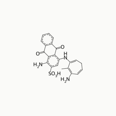 CC1=C(N)C=CCC=C1Nc1cc(S(=O)(=O)O)c(N)c2c1C(=O)c1ccccc1C2=O